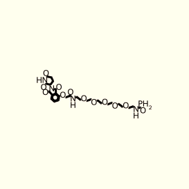 O=C(P)NCCOCCOCCOCCOCCOCCNC(=O)COc1cccc2c1C(=O)N(C1CCC(=O)NC1=O)C2=O